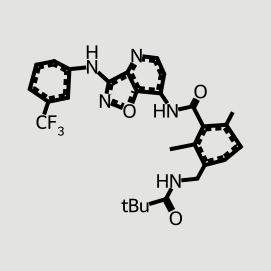 Cc1ccc(CNC(=O)C(C)(C)C)c(C)c1C(=O)Nc1ccnc2c(Nc3cccc(C(F)(F)F)c3)noc12